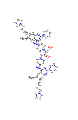 COc1cc2c(NC3CCN(CC(O)C(CO)N4CCC(Nc5nc(N6CCCCC6)nc6cc(C#CCCN7CCCC7)c(OC)cc56)CC4)CC3)nc(N3CCCCC3)nc2cc1C#CCCN1CCCC1